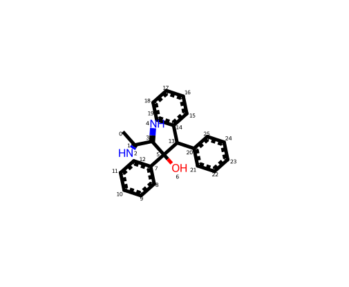 CC(=N)C(=N)C(O)(c1ccccc1)C(c1ccccc1)c1ccccc1